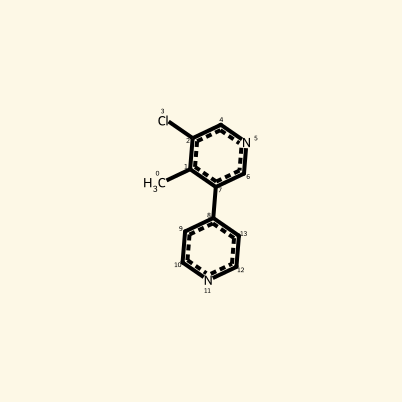 Cc1c(Cl)cncc1-c1ccncc1